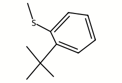 CSc1ccccc1C(C)(C)C